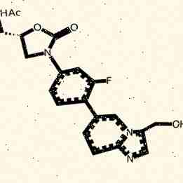 CC(=O)NC[C@H]1CN(c2ccc(-c3ccc4ncc(CO)n4c3)c(F)c2)C(=O)O1